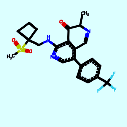 CC1N=Cc2c(-c3ccc(C(F)(F)F)cc3)cnc(NCC3(S(C)(=O)=O)CCC3)c2C1=O